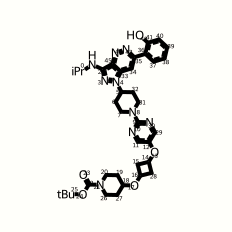 CC(C)Nc1nn(C2CCN(c3ncc(OC4CC(OC5CCN(C(=O)OC(C)(C)C)CC5)C4)cn3)CC2)c2cc(-c3ccccc3O)nnc12